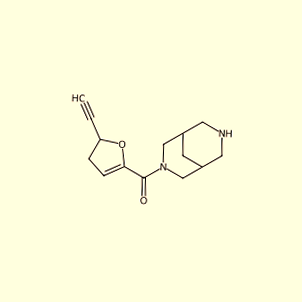 C#CC1CC=C(C(=O)N2CC3CNCC(C3)C2)O1